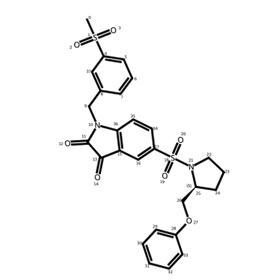 CS(=O)(=O)c1cccc(CN2C(=O)C(=O)c3cc(S(=O)(=O)N4CCC[C@H]4COc4ccccc4)ccc32)c1